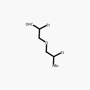 CCCCC(CC)COCC(C=O)CC